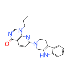 CCCn1cnc(=O)c2ccc(N3CCc4c([nH]c5ccccc45)C3)nc21